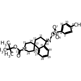 Cc1ccc(S(=O)(=O)ON=C2CCC3(CCN(C(=O)OC(C)(C)C)CC3)c3ccccc32)cc1